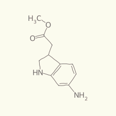 COC(=O)CC1CNc2cc(N)ccc21